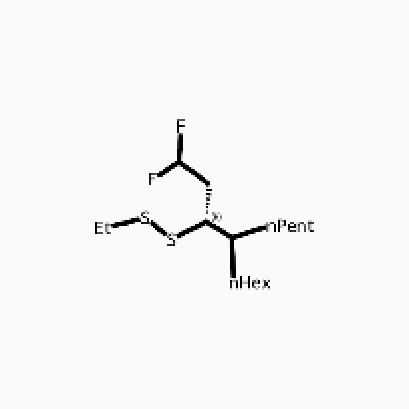 CCCCCCC(CCCCC)[C@@H](CC(F)F)SSCC